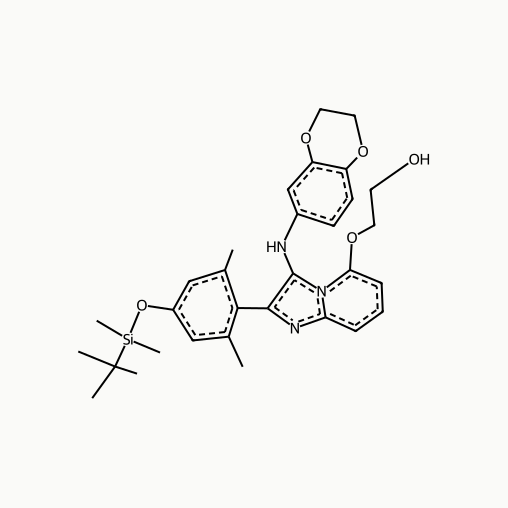 Cc1cc(O[Si](C)(C)C(C)(C)C)cc(C)c1-c1nc2cccc(OCCO)n2c1Nc1ccc2c(c1)OCCO2